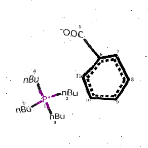 CCCC[P+](CCCC)(CCCC)CCCC.O=C([O-])c1ccccc1